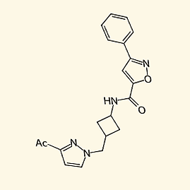 CC(=O)c1ccn(CC2CC(NC(=O)c3cc(-c4ccccc4)no3)C2)n1